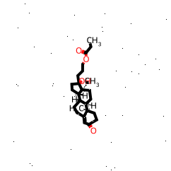 CCC(=O)OCCCC1(O)CC[C@H]2[C@@H]3CCC4=CC(=O)CC[C@]4(C)[C@@H]3CC[C@@]21CC